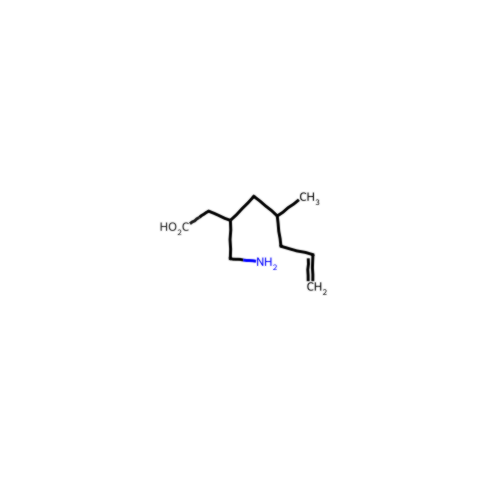 C=CCC(C)CC(CN)CC(=O)O